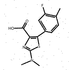 Cc1ccc(-c2sc(N(C)C)nc2C(=O)O)cc1F